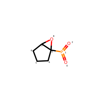 O=P(=O)C12CCCC1O2